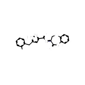 O=C1Nc2ccccc2OC/C1=N\C(=O)c1cc(Cc2ccccc2F)[nH]n1